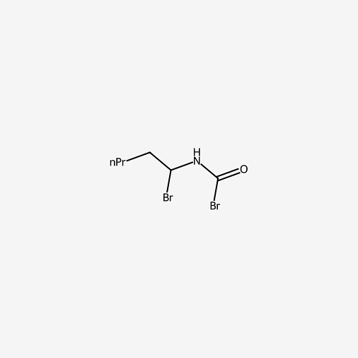 CCCCC(Br)NC(=O)Br